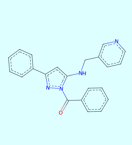 O=C(c1ccccc1)n1nc(-c2ccccc2)cc1NCc1cccnc1